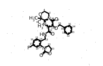 CC1(C)OCCn2c1nc(C(=O)NCc1ccc(F)cc1N1CCOC1=O)c(OCc1ccccc1)c2=O